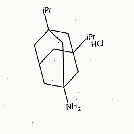 CC(C)C12CC3CC(N)(C1)CC(C(C)C)(C3)C2.Cl